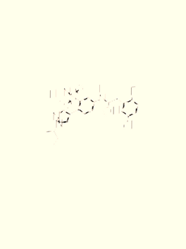 CCC(C)n1cc(-c2ccc(NC(O)Cc3cc(Cl)ccc3F)cc2S(N)(=O)=O)cn1